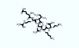 CC[C@H](C)[C@H](NC(=O)[C@H](CCCNC(=N)N)NC(=O)[C@@H](N)CCC(=O)O)C(=O)N[C@@H](CC(N)=O)C(=O)N[C@@H](CCCCN)C(=O)N[C@@H](CCSC)C(=O)O